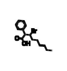 CCC=CCCC(Br)C(C(=O)O)c1ccccc1